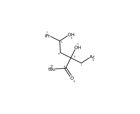 CC(=O)CC(O)(CC(O)C(C)C)C(=O)C(C)(C)C